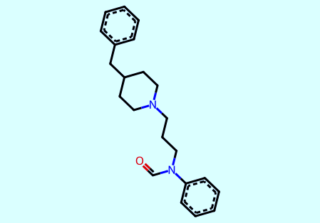 O=CN(CCCN1CCC(Cc2ccccc2)CC1)c1ccccc1